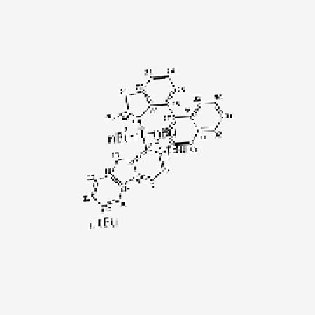 CCC[CH2][Ti]([CH2]CCC)([c]1c(C(C)(C)C)ccc2c1Cc1ccc(C(C)(C)C)cc1-2)[CH]1C(C)=Cc2cccc(-c3cccc4ccccc34)c21